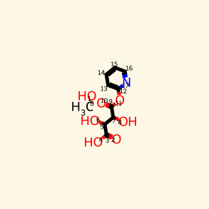 CO.O=C(O)C(O)C(O)C(=O)Oc1ccccn1